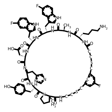 C[C@H]1NC(=O)[C@H](CCCCN)NC(=O)CCSCc2cc(F)cc(c2)CSCCNC(=O)[C@]2(C)CCCN2C(=O)[C@H](Cc2ccc(O)cc2)NC(=O)/C(Cc2cnc[nH]2)=N/C(=O)[C@H](CC(=O)O)NC(=O)[C@H](Cc2c[nH]c3ccc(F)cc23)NC(=O)[C@H](Cc2c[nH]c3ccc(F)cc23)NC1=O